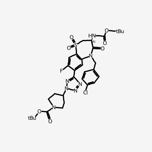 CC(C)(C)OC(=O)N[C@H]1CS(=O)(=O)c2cc(F)c(-c3nnn(C4CCN(C(=O)OC(C)(C)C)CC4)n3)cc2N(Cc2ccc(Cl)cc2)C1=O